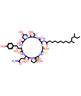 CCC(C)CC(C)CCCCCCCCC(=O)NC1C[C@@H](O)C(S)NC(=O)[C@@H]2[C@@H](O)CCN2C(=O)C([C@H](O)CC(N)=O)NC(=O)[C@H]([C@H](O)[C@@H](O)c2ccc(O)cc2)NC(=O)C2C[C@@H](O)CN2C(=O)C([C@@H](C)O)NC1=O